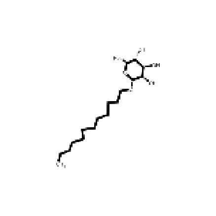 CCCCCCCCCCCCO[C@H]1O[C@@H](C)[C@H](O)[C@@H](O)[C@H]1O